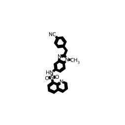 Cn1c(Cc2ccc(C#N)cc2)nc2cc(NS(=O)(=O)c3cccc4cccnc34)ccc21